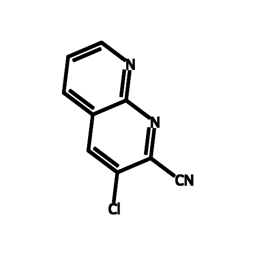 N#Cc1nc2ncccc2cc1Cl